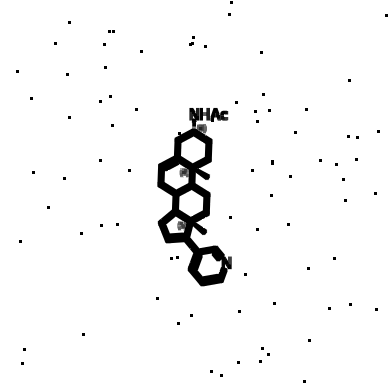 CC(=O)N[C@@H]1CC[C@@]2(C)C(=CCC3C2CC[C@]2(C)C(c4cccnc4)=CCC32)C1